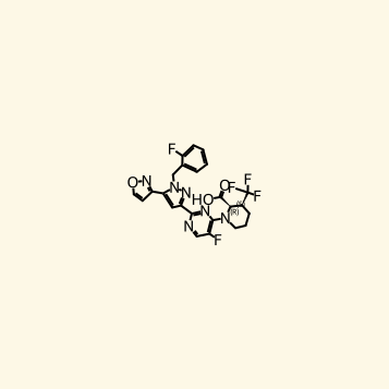 O=C(O)[C@H]1[C@@H](C(F)(F)F)CCCN1c1nc(-c2cc(-c3ccon3)n(Cc3ccccc3F)n2)ncc1F